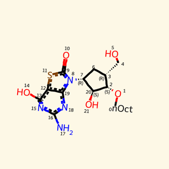 CCCCCCCCO[C@H]1[C@@H](CO)C[C@@H](n2c(=O)sc3c(O)nc(N)nc32)[C@@H]1O